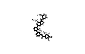 COc1nc(-c2cccc(-c3cccc(NC(=O)c4cn(C)c(=O)n(C)c4=O)c3Cl)c2Cl)cc2c1[C@@H](N[C@H]1CCOC[C@@H]1O)CC2